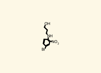 O=[N+]([O-])c1cc(Br)ccc1NCCCO